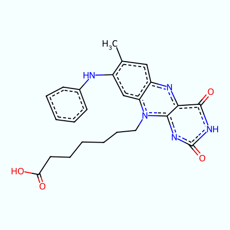 Cc1cc2nc3c(=O)[nH]c(=O)nc-3n(CCCCCCC(=O)O)c2cc1Nc1ccccc1